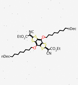 [C-]#[N+]C(C(=O)OCC)=C1Sc2c(OCCCCCCCCCCCCCCCCCC)c3c(c(OCCCCCCCCCCCCCCCCCC)c2S1)SC(=C(C#N)C(=O)OCC)S3